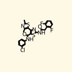 Cc1nc(C)c(-c2nc(NC(=O)Cc3c(F)cccc3F)sc2C(=O)Nc2cccc(Cl)c2)s1